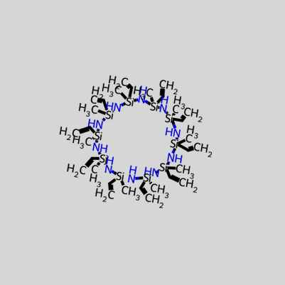 C=C[Si]1(C)N[Si](C)(C=C)N[Si](C)(C=C)N[Si](C)(C=C)N[Si](C)(C=C)N[Si](C)(C=C)N[Si](C)(C=C)N[Si](C)(C=C)N[Si](C)(C=C)N[Si](C)(C=C)N1